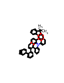 CC1(C)c2ccccc2-c2c(-c3ccccc3N(c3ccccc3-c3ccccc3-c3ccccc3-c3ccccc3)c3cccc4ccccc34)cccc21